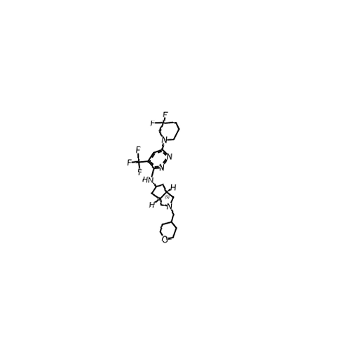 FC1(F)CCCN(c2cc(C(F)(F)F)c(NC3C[C@@H]4CN(CC5CCOCC5)C[C@@H]4C3)nn2)C1